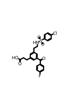 O=C(O)CCc1cc(CCNS(=O)(=O)c2ccc(Cl)cc2)cc(C(=O)c2ccc(F)cc2)c1